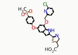 CS(=O)(=O)c1ccc(Oc2cc(OCc3cccc(Cl)n3)c3[nH]c(C4=NCC(CC(=O)O)S4)cc3c2)cc1